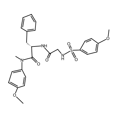 COc1ccc(N(C)C(=O)[C@H](Cc2ccccc2)NC(=O)CNS(=O)(=O)c2ccc(OC)cc2)cc1